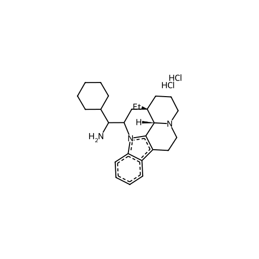 CC[C@]12CCCN3CCc4c(n(c5ccccc45)C(C(N)C4CCCCC4)C1)[C@@H]32.Cl.Cl